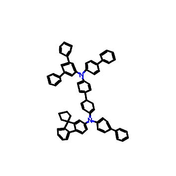 C1=CC(c2ccc(N(c3ccc(-c4ccccc4)cc3)c3cc(-c4ccccc4)cc(-c4ccccc4)c3)cc2)CC=C1N(c1ccc(-c2ccccc2)cc1)c1ccc2c(c1)C1(CCCC1)c1ccccc1-2